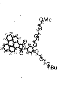 CCCCOCCOCCOc1ccc(-n2c(=O)c3c4ccc5cccc6c7cccc8ccc(c3c2=O)c(c87)c4c56)cc1OCCOCCOCCOC